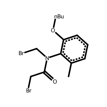 CCCCOc1cccc(C)c1N(CBr)C(=O)CBr